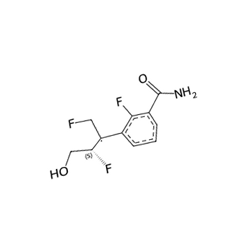 NC(=O)c1cccc([C](CF)[C@H](F)CO)c1F